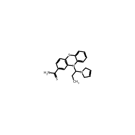 CCC(N1CC=CC1)N1c2ccccc2Sc2ccc(C(N)=S)cc21